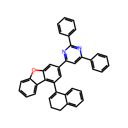 C1=C(c2cc(-c3cc(-c4ccccc4)nc(-c4ccccc4)n3)cc3oc4ccccc4c23)c2ccccc2CC1